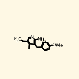 COc1ccc(Cc2c(N)ncc(CC(F)(F)F)c2C)cc1